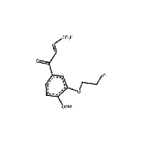 COc1ccc(C(=O)C=CC(=O)O)cc1OCCC(C)C